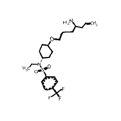 C=CCC(N)CCCO[C@H]1CC[C@H](N(CC)S(=O)(=O)c2ccc(C(F)(F)F)cc2)CC1